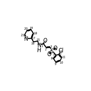 O=C(/C=C/S(=O)(=O)c1ccccc1Cl)NCCc1ccccn1